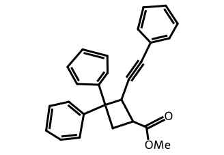 COC(=O)C1CC(c2ccccc2)(c2ccccc2)C1C#Cc1ccccc1